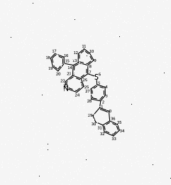 C1=C(c2ccc(Sc3c4ccccc4c(-c4ccccc4)c4cnccc34)cc2)CCc2ccccc21